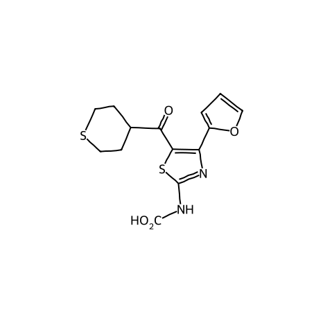 O=C(O)Nc1nc(-c2ccco2)c(C(=O)C2CCSCC2)s1